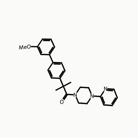 COc1cccc(-c2ccc(C(C)(C)C(=O)N3CCN(c4ccccn4)CC3)cc2)c1